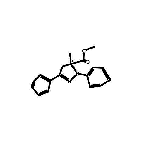 COC(=O)[C@@]1(C)CC(c2ccccc2)=NN1c1ccccc1